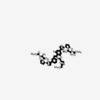 COCc1ncc(C2Oc3cc(-c4cnc([C@@H]5CCCN5C(O)[C@@H](NC(=O)OC)C(C)C)[nH]4)cc(F)c3-c3cc4cc(-c5cnc([C@@H]6CCCN6C(=O)[C@@H](NC(=O)OC)C(C)C)[nH]5)ccc4n32)s1